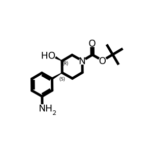 CC(C)(C)OC(=O)N1CC[C@@H](c2cccc(N)c2)[C@@H](O)C1